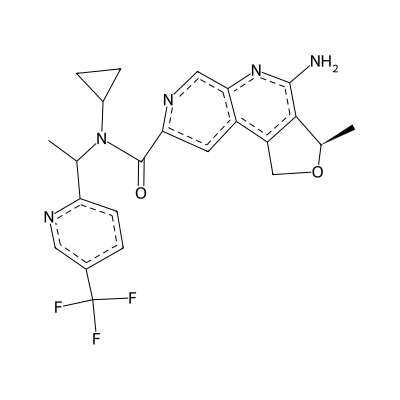 CC(c1ccc(C(F)(F)F)cn1)N(C(=O)c1cc2c3c(c(N)nc2cn1)[C@@H](C)OC3)C1CC1